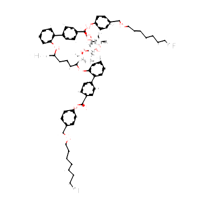 CCCCCCC(CCCC(Oc1ccccc1-c1ccc(C(=O)Oc2ccc(COCCCCCCCC(F)(F)F)cc2)cc1)[Si](C)(C)O[Si](C)(C)O[SiH](C)C)Oc1ccccc1-c1ccc(C(=O)Oc2ccc(COCCCCCCCC(F)(F)F)cc2)cc1